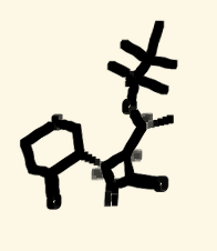 C[C@@H](O[Si](C)(C)C(C)(C)C)[C@H]1C(=O)N[C@@H]1C1CSCCC1=O